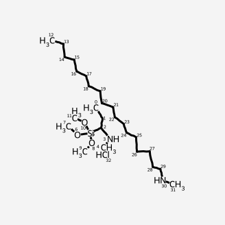 CCC(NC)[Si](OC)(OC)OC.CCCCCCCCCCCCCCCCCCNC.Cl